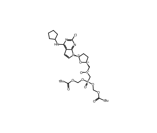 CC(C)(C)C(=O)OCOP(=O)(C[S+]([O-])C[C@@H]1CC[C@H](n2ccc3c(NC4CCCC4)nc(Cl)nc32)O1)OCOC(=O)C(C)(C)C